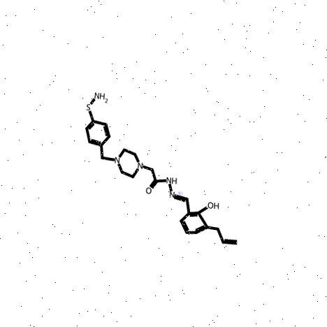 C=CCc1cccc(/C=N/NC(=O)CN2CCN(Cc3ccc(SN)cc3)CC2)c1O